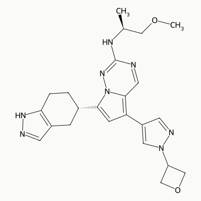 COC[C@H](C)Nc1ncc2c(-c3cnn(C4COC4)c3)cc([C@H]3CCc4[nH]ncc4C3)n2n1